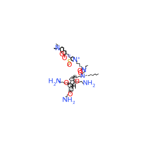 C=CCN(CC(=O)N(CCCCCCCC)CCC[C@@H](C)[C@H]1CCC2C3[C@H](OCCCN)CC4C[C@H](OCCCN)CC[C@]4(C)[C@H]3C[C@H](OCCCN)C21C)C(=O)CCCCC[n+]1ccc(/C=C/c2cc3ccc(N(CC)CC)cc3oc2=O)c(SOC)c1